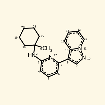 CC1(Nc2cccc(-c3cnn4ccccc34)n2)CCCCC1